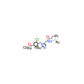 CCCCc1ncc(CNC(=O)[C@@H](CSC(C)=O)CC(C)C)n1Cc1ccc(C(=O)OC)cc1Cl